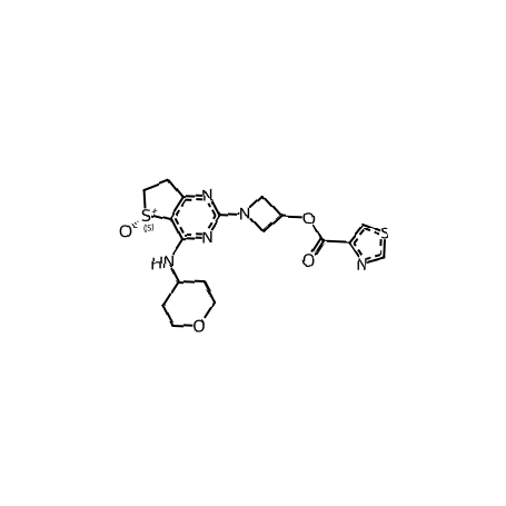 O=C(OC1CN(c2nc3c(c(NC4CCOCC4)n2)[S@+]([O-])CC3)C1)c1cscn1